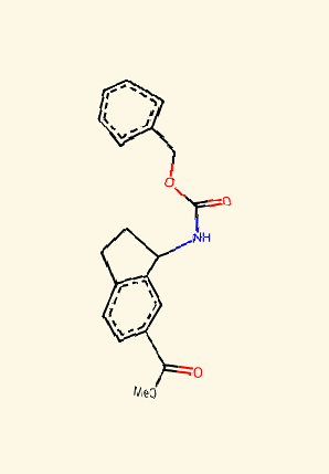 COC(=O)c1ccc2c(c1)C(NC(=O)OCc1ccccc1)CC2